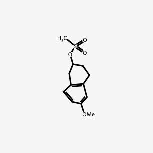 COc1ccc2c(c1)CCC(OS(C)(=O)=O)C2